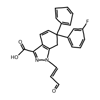 O=CC=Cn1nc(C(=O)O)c2c1CC(c1ccccc1)(c1cccc(F)c1)C=C2